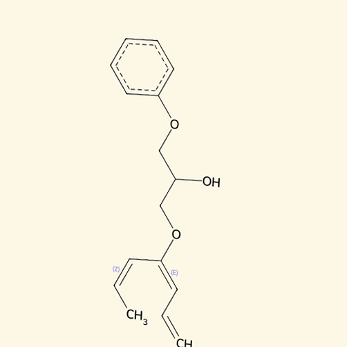 C=C/C=C(\C=C/C)OCC(O)COc1ccccc1